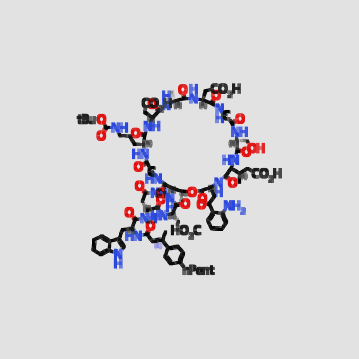 CCCCCc1ccc(/C(C)=C/C(=O)N[C@@H](Cc2c[nH]c3ccccc23)C(=O)N[C@H](CC(N)=O)C(=O)N[C@@H](CC(=O)O)C(=O)N[C@@H]2C(=O)NCC(=O)N[C@@H](CCCNC(=O)OC(C)(C)C)C(=O)N[C@@H](CC(=O)O)C(=O)N[C@H](C)C(=O)N[C@@H](CC(=O)O)C(=O)NCC(=O)N[C@H](CO)C(=O)NC([C@H](C)CC(=O)O)C(=O)N[C@@H](CC(=O)c3ccccc3N)C(=O)O[C@@H]2C)cc1